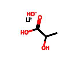 CC(O)C(=O)O.[Li+].[OH-]